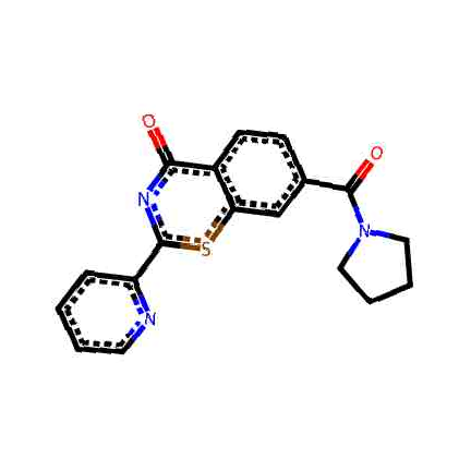 O=C(c1ccc2c(=O)nc(-c3ccccn3)sc2c1)N1CCCC1